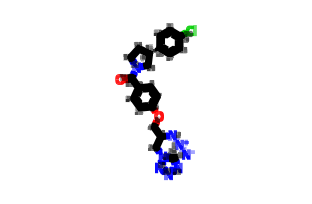 [N-]=[N+]=NC(COc1ccc(C(=O)N2CC[C@H](c3ccc(Cl)cc3)C2)cc1)Cn1cnnn1